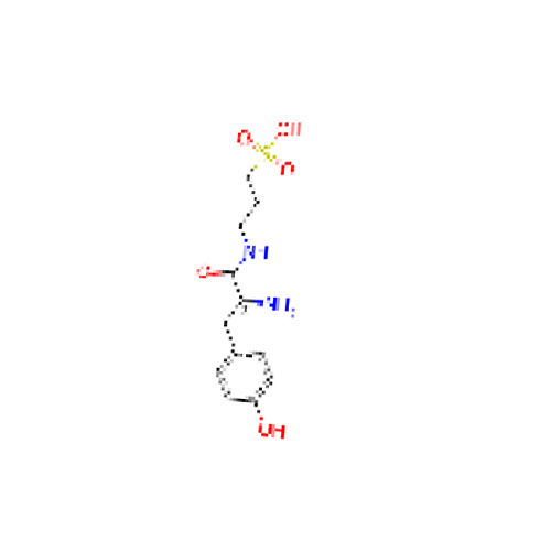 N[C@@H](Cc1ccc(O)cc1)C(=O)NCCCS(=O)(=O)O